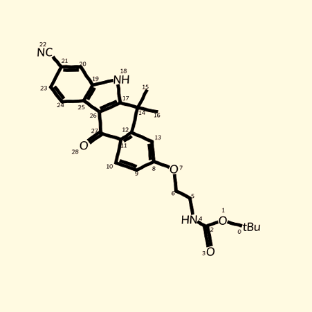 CC(C)(C)OC(=O)NCCOc1ccc2c(c1)C(C)(C)c1[nH]c3cc(C#N)ccc3c1C2=O